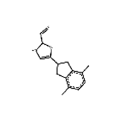 Cc1ccc(C)c2c1CC(C1=CNC(C=S)N1)C2